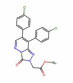 CC(C)(C)OC(=O)Cn1nc2c(-c3ccc(Cl)cc3)c(-c3ccc(Cl)cc3)cnn2c1=O